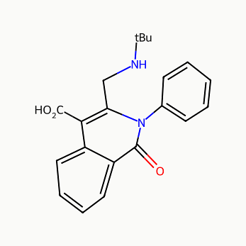 CC(C)(C)NCc1c(C(=O)O)c2ccccc2c(=O)n1-c1ccccc1